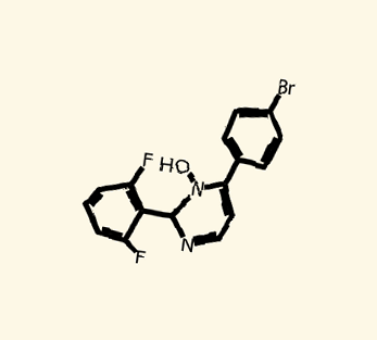 ON1C(c2ccc(Br)cc2)=CC=NC1c1c(F)cccc1F